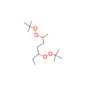 CCC(CCC(C)OOC(C)(C)C)OOC(C)(C)C